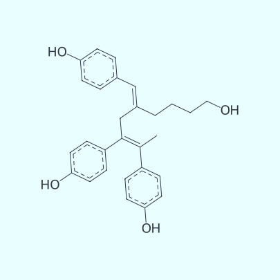 CC(=C(CC(=Cc1ccc(O)cc1)CCCCO)c1ccc(O)cc1)c1ccc(O)cc1